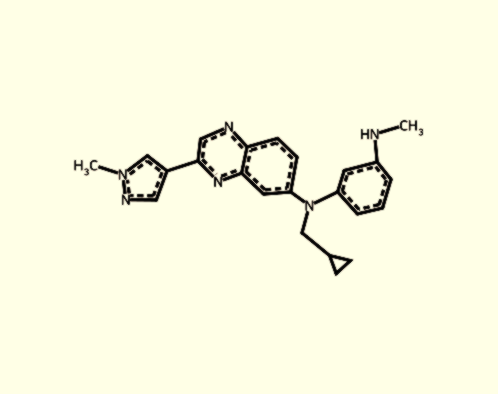 CNc1cccc(N(CC2CC2)c2ccc3ncc(-c4cnn(C)c4)nc3c2)c1